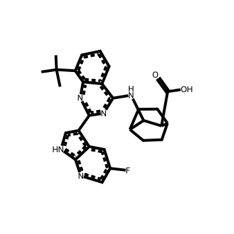 CC(C)(C)c1cccc2c(NC3C4CCC(CC4)C3C(=O)O)nc(-c3c[nH]c4ncc(F)cc34)nc12